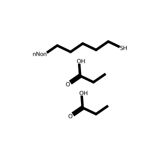 CCC(=O)O.CCC(=O)O.CCCCCCCCCCCCCCS